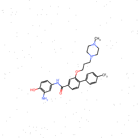 CN1CCN(CCCOc2cc(C(=O)Nc3ccc(O)c(N)c3)ccc2-c2ccc(C(F)(F)F)cc2)CC1